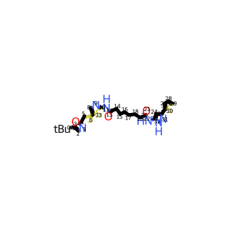 CC(C)(C)c1cnc(CSc2cnc(NC(=O)CCCCCCC(=O)Nc3cc(-c4cccs4)n[nH]3)s2)o1